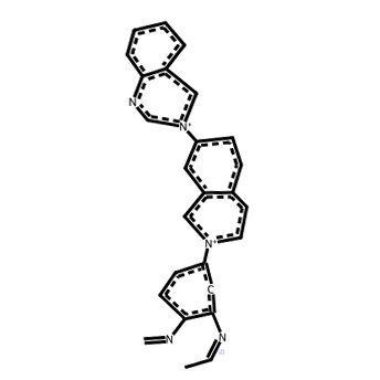 C=Nc1ccc(-[n+]2ccc3ccc(-[n+]4cnc5ccccc5c4)cc3c2)cc1/N=C\C